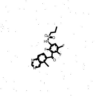 CCCS(=O)(=O)Nc1cc(F)c(F)c(C(=O)c2ccc3ncncc3c2C)c1F